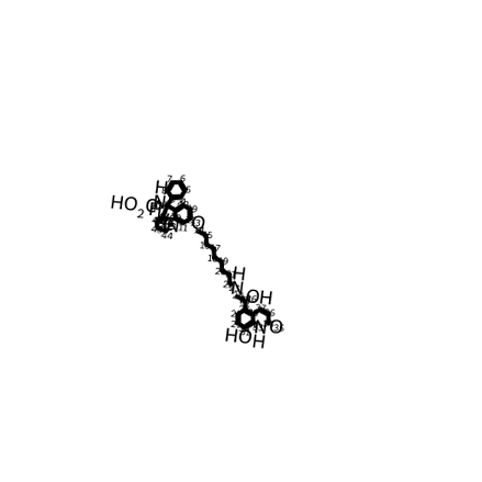 O=C(O)NC(c1ccccc1)(c1ccc(OCCCCCCCCCNC[C@H](O)c2ccc(O)c3[nH]c(=O)ccc23)cc1)[C@H]1CN2CCC1CC2